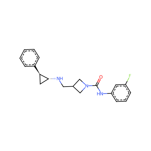 O=C(Nc1cccc(F)c1)N1CC(CN[C@@H]2C[C@H]2c2ccccc2)C1